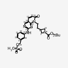 CC(C)(C)OC(=O)N1CC(CCn2c(=O)ccc3cnc(Nc4cccc(COS(C)(=O)=O)c4)nc32)C1